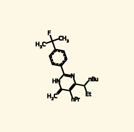 C=C1NC(c2ccc(C(C)(C)F)cc2)=NC(C(CC)CCCC)=C1CCC